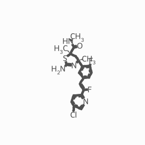 CNC(=O)[C@@]1(C)C[C@@](C)(c2cc(/C=C(\F)c3ccc(Cl)cn3)ccc2F)N=C(N)S1